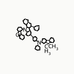 CC1(C)c2ccccc2-c2ccc(N(c3ccccc3)c3ccc(-c4ccc5c(c4)c4c(-c6ccccc6)cc6ccccc6c4n5-c4cccc5oc6ccccc6c45)cc3)cc21